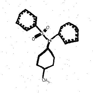 CC1CCC(N(c2ccccc2)S(=O)(=O)c2ccccc2)CC1